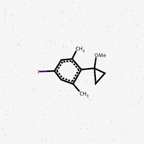 COC1(c2c(C)cc(I)cc2C)CC1